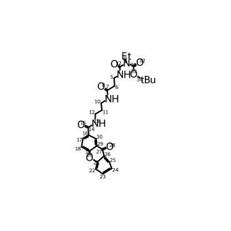 CCN(C(=O)NCCC(=O)NCCCNC(=O)c1ccc2oc3ccccc3c(=O)c2c1)C(=O)OC(C)(C)C